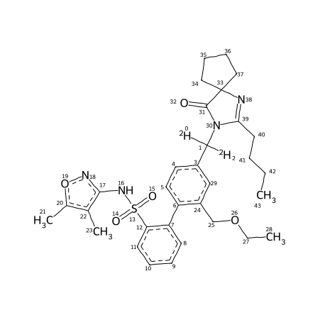 [2H]C([2H])(c1ccc(-c2ccccc2S(=O)(=O)Nc2noc(C)c2C)c(COCC)c1)N1C(=O)C2(CCCC2)N=C1CCCC